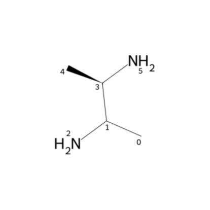 CC(N)[C@@H](C)N